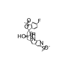 C[S+]([O-])c1cc2cc(C[C@](O)(CC(C)(C)c3ccc(F)cc3S(C)(=O)=O)C(F)(F)F)[nH]c2cn1